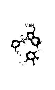 CNCc1cn(S(=O)(=O)c2cccc(C(F)(F)F)c2)c2cc(Nc3ccc(C)c(F)c3F)ccc12.Cl